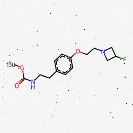 CC(C)(C)OC(=O)NCCc1ccc(OCCN2CC(F)C2)cc1